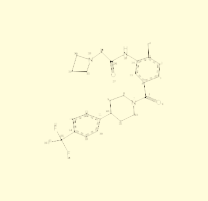 Cc1ccc(C(=O)N2CCC(c3ccc(C(F)(F)F)cc3)CC2)cc1NC(=O)CN1CCC1